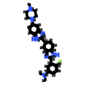 CN1CCN(c2ccc3[nH]c(-c4ccc5[nH]c(-c6cc(N(C)C)ccc6F)nc5c4)nc3c2)CC1